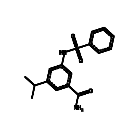 CC(C)c1cc(NS(=O)(=O)c2ccccc2)cc(C(N)=O)c1